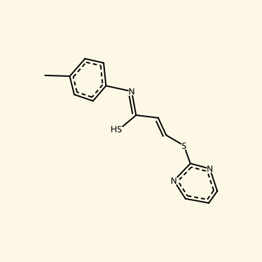 Cc1ccc(N=C(S)C=CSc2ncccn2)cc1